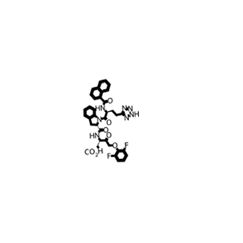 O=C(O)C[C@H](NC(=O)[C@@H]1Cc2ccccc2N1C(=O)[C@H](CCc1nn[nH]n1)NC(=O)c1cccc2ccccc12)C(=O)COc1c(F)cccc1F